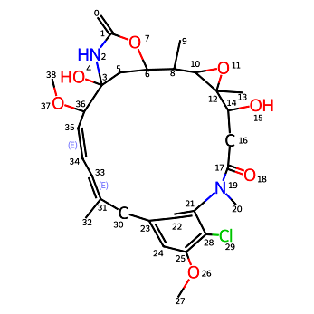 C=C1NC2(O)CC(O1)C(C)C1OC1(C)C(O)CC(=O)N(C)c1cc(cc(OC)c1Cl)C/C(C)=C/C=C/C2OC